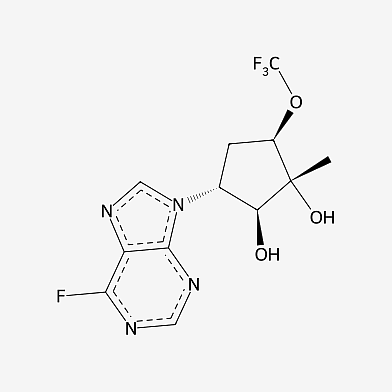 C[C@]1(O)[C@H](OC(F)(F)F)C[C@@H](n2cnc3c(F)ncnc32)[C@@H]1O